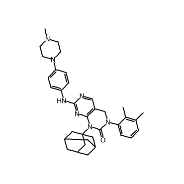 Cc1cccc(N2Cc3cnc(Nc4ccc(N5CCN(C)CC5)cc4)nc3N(C34CC5CC(CC(C5)C3)C4)C2=O)c1C